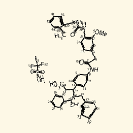 COc1cc(CC(=O)Nc2ccc(C(CC(=O)O)N(Cc3ccccc3)[C@@H](C)c3ccccc3)cc2)ccc1NC(=O)Nc1ccccc1C.O=S(=O)(O)C(F)(F)F